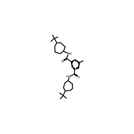 Cc1cc(C(=O)NC2CCCC(C(C)(C)C)CC2)cc(C(=O)NC2CCCC(C(C)(C)C)CC2)c1